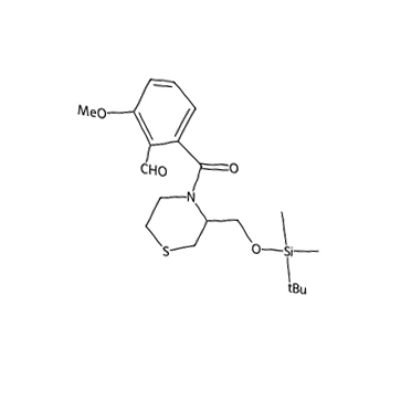 COc1cccc(C(=O)N2CCSCC2CO[Si](C)(C)C(C)(C)C)c1C=O